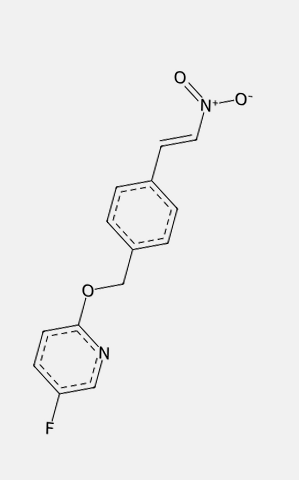 O=[N+]([O-])C=Cc1ccc(COc2ccc(F)cn2)cc1